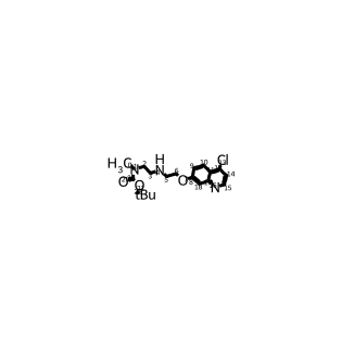 CN(CCNCCOc1ccc2c(Cl)ccnc2c1)C(=O)OC(C)(C)C